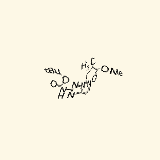 COC(=O)C(C)Cc1nccc2nc(NC(=O)OC(C)(C)C)nn12